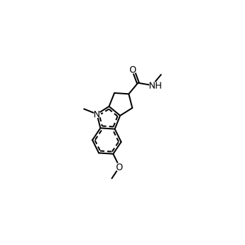 CNC(=O)C1Cc2c(n(C)c3ccc(OC)cc23)C1